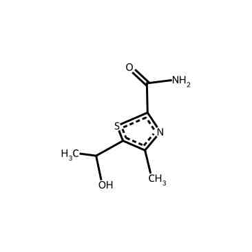 Cc1nc(C(N)=O)sc1C(C)O